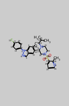 Cc1cc2c(cnn2-c2ccc(F)cc2)cc1[C@@H]1CN(S(=O)(=O)c2cccnc2C)CCN1CC(C)C